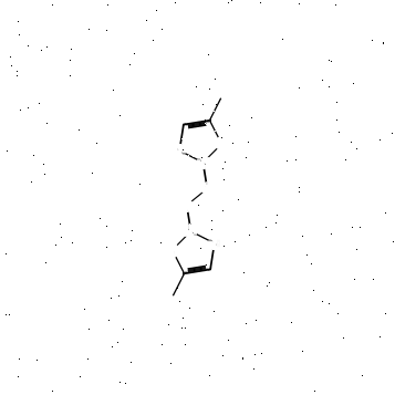 CC1=CNN(SSN2NC=C(C)S2)S1